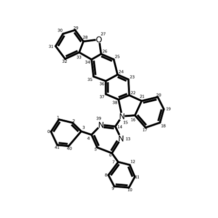 c1ccc(-c2cc(-c3ccccc3)nc(-n3c4ccccc4c4cc5cc6oc7ccccc7c6cc5cc43)n2)cc1